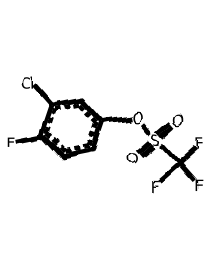 O=S(=O)(Oc1ccc(F)c(Cl)c1)C(F)(F)F